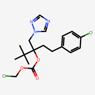 CC(C)(C)C(CCc1ccc(Cl)cc1)(Cn1cncn1)OC(=O)OCCl